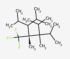 CC(C)C(C(C)C)[C@@](C)(C(F)(F)F)C(C)(C(C)C)C(C)C